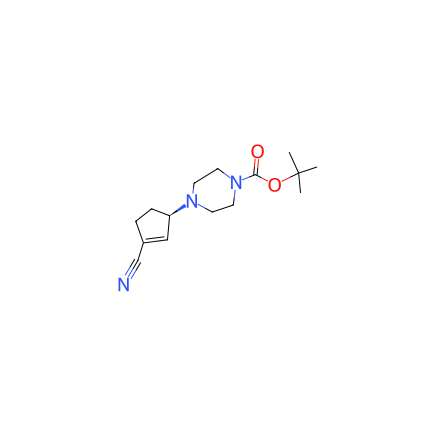 CC(C)(C)OC(=O)N1CCN([C@H]2C=C(C#N)CC2)CC1